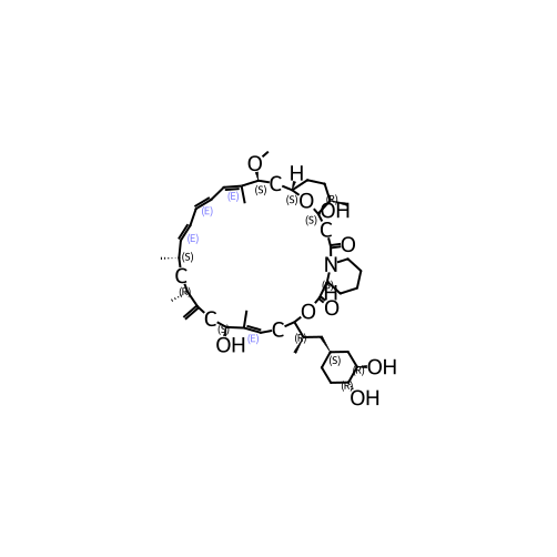 C=C1C[C@H](O)/C(C)=C/CC([C@H](C)C[C@@H]2CC[C@@H](O)[C@H](O)C2)OC(=O)[C@@H]2CCCCN2C(=O)C[C@]2(O)O[C@@H](CC[C@H]2C)C[C@H](OC)/C(C)=C/C=C/C=C/[C@@H](C)C[C@H]1C